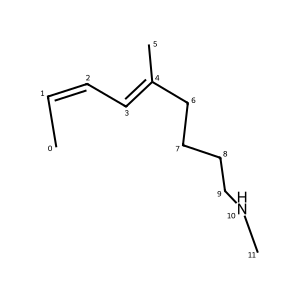 C/C=C\C=C(/C)CCCCNC